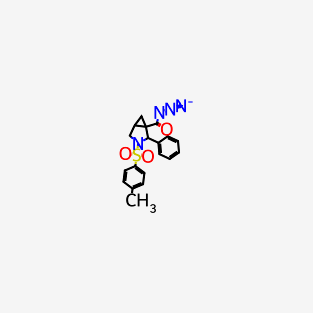 Cc1ccc(S(=O)(=O)N2CC3CC3(C(=O)N=[N+]=[N-])C2c2ccccc2)cc1